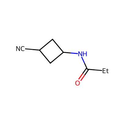 CCC(=O)NC1CC(C#N)C1